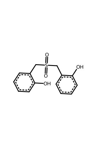 O=S(=O)(Cc1ccccc1O)Cc1ccccc1O